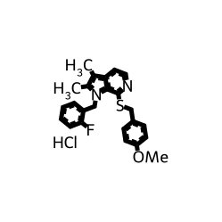 COc1ccc(CSc2nccc3c(C)c(C)n(Cc4ccccc4F)c23)cc1.Cl